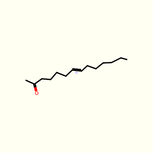 CCCCCC/C=C/CCCCC(C)=O